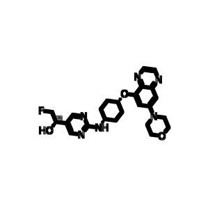 O[C@@H](CF)c1cnc(N[C@H]2CC[C@@H](Oc3cc(N4CCOCC4)cc4nccnc34)CC2)nc1